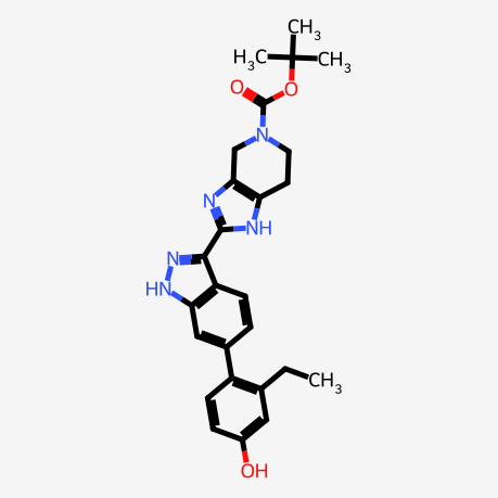 CCc1cc(O)ccc1-c1ccc2c(-c3nc4c([nH]3)CCN(C(=O)OC(C)(C)C)C4)n[nH]c2c1